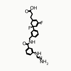 NN=CNc1cccc(C(=O)NCc2cccc(C3(F)C=C(F)C=C(CCC(=O)O)C3)c2)c1